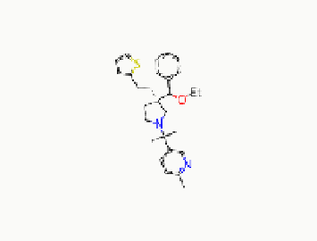 CCO[C@H](c1ccccc1)[C@]1(CCc2cccs2)CCN(C(C)(C)c2ccc(C)nc2)C1